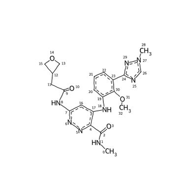 CNC(=O)c1nnc(NC(=O)CC2COC2)cc1Nc1cccc(-c2ncn(C)n2)c1OC